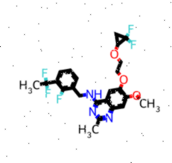 COc1cc2nc(C)nc(NCc3cccc(C(C)(F)F)c3F)c2cc1OCCOC1CC1(F)F